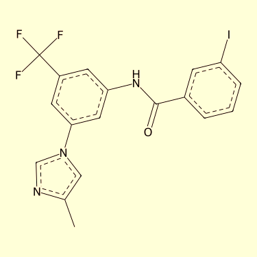 Cc1cn(-c2cc(NC(=O)c3cccc(I)c3)cc(C(F)(F)F)c2)cn1